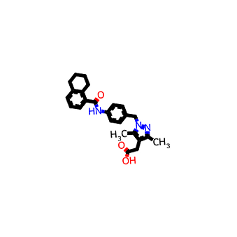 Cc1nn(Cc2ccc(NC(=O)c3cccc4c3CCCC4)cc2)c(C)c1CC(=O)O